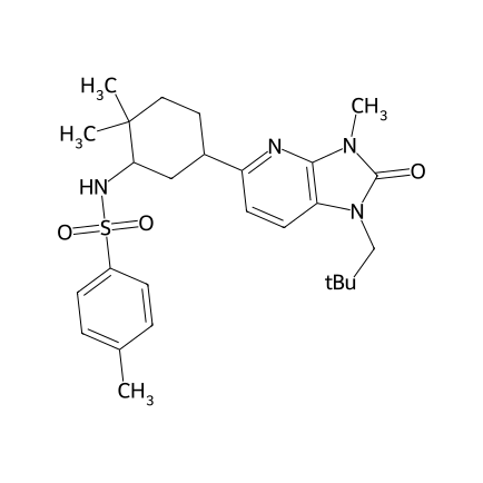 Cc1ccc(S(=O)(=O)NC2CC(c3ccc4c(n3)n(C)c(=O)n4CC(C)(C)C)CCC2(C)C)cc1